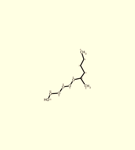 CCCCC(C)OOOOOO